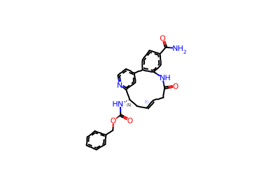 NC(=O)c1ccc2c(c1)NC(=O)C/C=C/C[C@H](NC(=O)OCc1ccccc1)c1cc-2ccn1